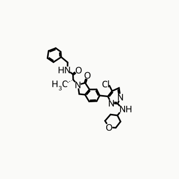 C[C@H](C(=O)NCc1ccccc1)N1Cc2ccc(-c3nc(NC4CCOCC4)ncc3Cl)cc2C1=O